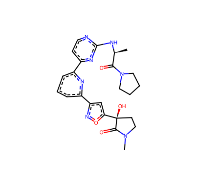 C[C@H](Nc1nccc(-c2cccc(-c3cc([C@]4(O)CCN(C)C4=O)on3)n2)n1)C(=O)N1CCCC1